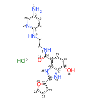 Cl.Nc1ccc(NCCNC(=O)c2ccc(O)c3[nH]c(-c4ccco4)nc23)nc1